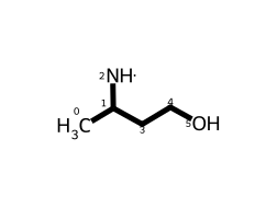 CC([NH])CCO